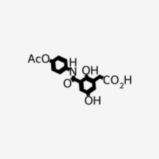 CC(=O)Oc1ccc(NC(=O)c2cc(O)cc(CC(=O)O)c2O)cc1